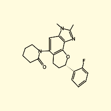 Cc1nc2c3c(c(N4CCCCC4=O)cc2n1C)CC[C@@H](c1ccccc1F)O3